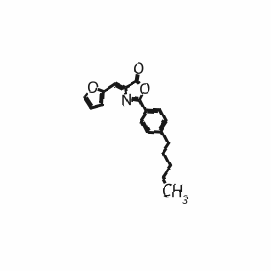 CCCCCc1ccc(C2=N/C(=C\c3ccco3)C(=O)O2)cc1